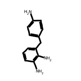 Nc1ccc(Cc2cccc(N)c2N)cc1